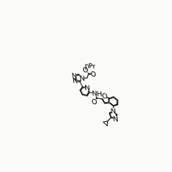 CCCOC(=O)Cn1cnnc1-c1cccc(NC(=O)c2cc3c(-n4cnc(C5CC5)c4)cccc3o2)n1